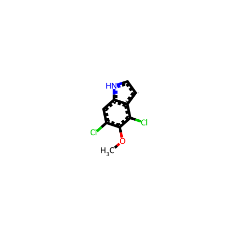 COc1c(Cl)cc2[nH]c[c]c2c1Cl